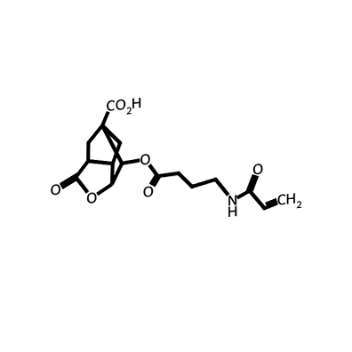 C=CC(=O)NCCCC(=O)OC1C2OC(=O)C3CC1(C(=O)O)CC32